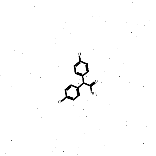 NC(=O)C(c1ccc(Cl)cc1)c1ccc(Cl)cc1